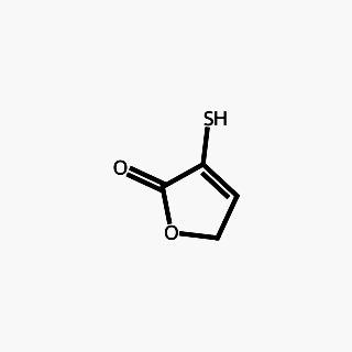 O=C1OCC=C1S